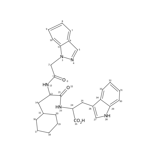 O=C(Cn1ncc2ccccc21)NC(CC1CCCCC1)C(=O)NC(Cc1c[nH]c2ccccc12)C(=O)O